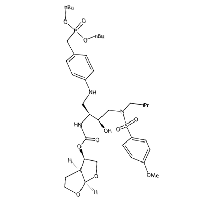 CCCCOP(=O)(Cc1ccc(NC[C@H](NC(=O)O[C@H]2CO[C@H]3OCC[C@H]32)[C@H](O)CN(CC(C)C)S(=O)(=O)c2ccc(OC)cc2)cc1)OCCCC